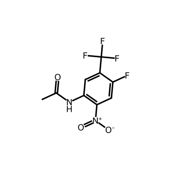 CC(=O)Nc1cc(C(F)(F)F)c(F)cc1[N+](=O)[O-]